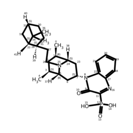 C[C@@H]1C[C@H](C)[C@H]2C[C@@H](n3c(=O)c(P(=O)(O)O)nc4ccccc43)C[C@@H]1N2CC[C@@H]1CC[C@H]2C[C@@H]1C2(C)C